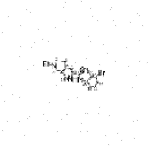 CCN1CCc2cc(C(=O)Nc3cccc(Br)c3Cl)ncc2C1